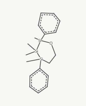 C[Si]1(c2ccccc2)CCO[Si](C)(c2ccccc2)[Si]1(C)C